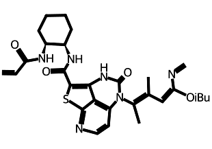 C=CC(=O)N[C@H]1CCCC[C@H]1NC(=O)c1sc2nccc3c2c1NC(=O)N3/C(C)=C(C)/C=C(\N=C)OCC(C)C